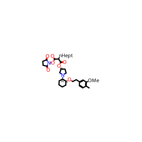 CCCCCCCC(C(=O)O[C@@H]1CCN([C@@H]2CCCC[C@H]2OCCc2ccc(C)c(OC)c2)C1)C(=O)ON1C(=O)CCC1=O